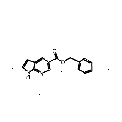 O=C(OCc1ccccc1)c1cnc2[nH]ccc2c1